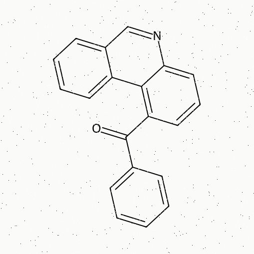 O=C(c1ccccc1)c1cccc2ncc3ccccc3c12